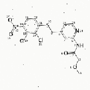 COCC(=O)Nc1cc(CSc2ccc([N+](=O)[O-])c(Cl)c2Cl)ccn1